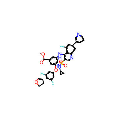 C1=COCC1.COC(=O)c1cc(Nc2c(S(=O)(=O)NC3CC3)cnc3cc(-c4cccnc4)cc(F)c23)cc(Oc2cc(F)cc(F)c2)c1